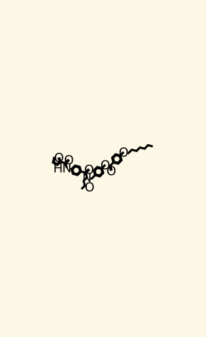 CCCCCCCOc1ccc(C(=O)Oc2ccc(CN(CC(C)=O)C(=O)c3ccc(NC(=O)c4ccco4)cc3)cc2)cc1